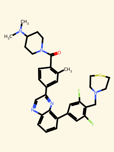 Cc1cc(-c2cnc3cccc(-c4cc(F)c(CN5CCSCC5)c(F)c4)c3n2)ccc1C(=O)N1CCC(N(C)C)CC1